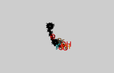 O=[PH](O)OC(F)(F)c1ccc(COCCCc2ccccc2)cc1Br